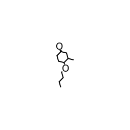 CCCCOC1CCC(=O)CC1C